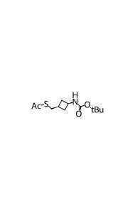 CC(=O)SC[C@H]1C[C@@H](NC(=O)OC(C)(C)C)C1